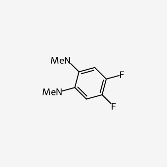 CNc1cc(F)c(F)cc1NC